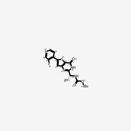 CC(C)[C@@H](NC(=O)OC(C)(C)C)c1nc2cc(-c3ccncc3F)sc2c(=O)[nH]1